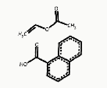 C=COC(C)=O.O=C(O)c1cccc2ccccc12